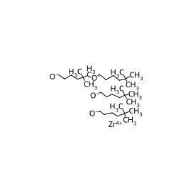 CC(C)(C)CCCC[O-].CC(C)(C)CCCC[O-].CC(C)(C)CCCC[O-].CC(C)(C)CCCC[O-].[Zr+4]